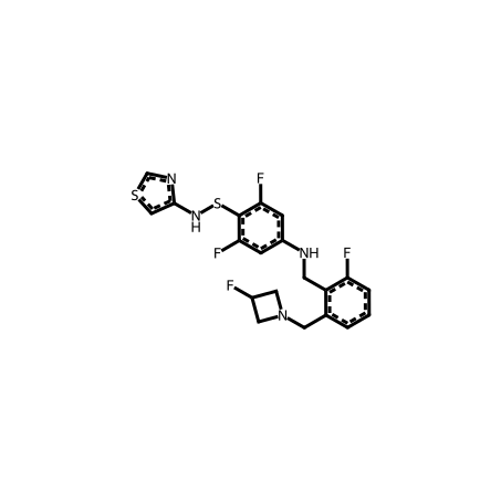 Fc1cccc(CN2CC(F)C2)c1CNc1cc(F)c(SNc2cscn2)c(F)c1